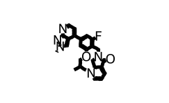 CC(C)COc1cc(-c2ccnc3nn(C)cc23)cc(F)c1CN1Cc2ncccc2C1=O